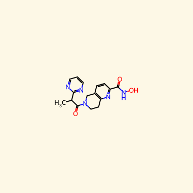 CC(C(=O)N1CCc2nc(C(=O)NO)ccc2C1)c1ncccn1